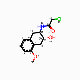 COc1cccc2c1C[C@@H](O)C(NC(=O)CCl)C2